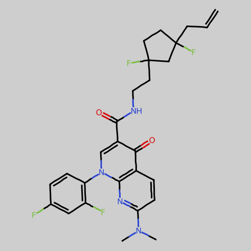 C=CCC1(F)CCC(F)(CCNC(=O)c2cn(-c3ccc(F)cc3F)c3nc(N(C)C)ccc3c2=O)C1